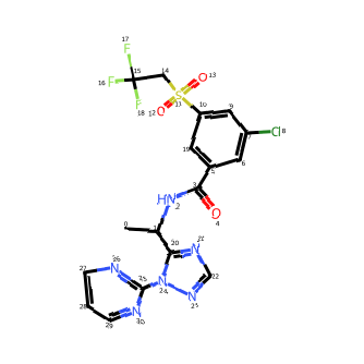 CC(NC(=O)c1cc(Cl)cc(S(=O)(=O)CC(F)(F)F)c1)c1ncnn1-c1ncccn1